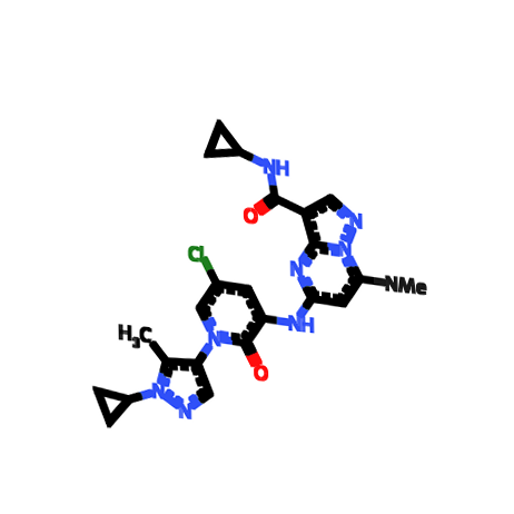 CNc1cc(Nc2cc(Cl)cn(-c3cnn(C4CC4)c3C)c2=O)nc2c(C(=O)NC3CC3)cnn12